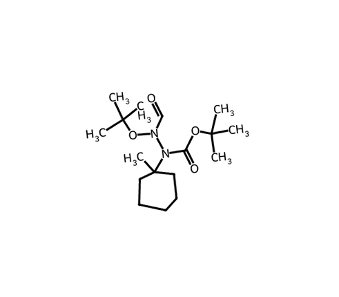 CC(C)(C)OC(=O)N(N(C=O)OC(C)(C)C)C1(C)CCCCC1